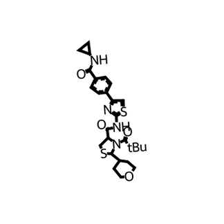 CC(C)(C)C(=O)N1C(C(=O)Nc2nc(-c3ccc(C(=O)NC4CC4)cc3)cs2)CSC1C1CCOCC1